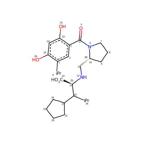 CC(C)c1cc(C(=O)N2CCC[C@@H]2CN[C@H](C(=O)O)C(C(C)C)C2CCCC2)c(O)cc1O